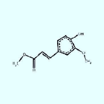 COC(=O)C=Cc1ccc(O)c(OC)c1